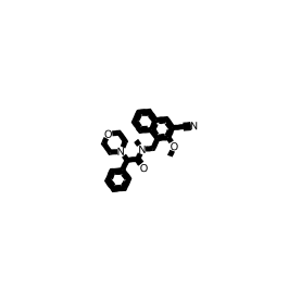 COc1c(C#N)cc2ccccc2c1CN(C)C(=O)C(c1ccccc1)N1CCOCC1